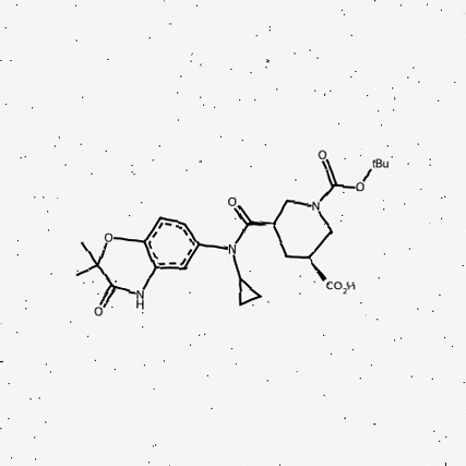 CC(C)(C)OC(=O)N1C[C@@H](C(=O)O)C[C@@H](C(=O)N(c2ccc3c(c2)NC(=O)C(C)(C)O3)C2CC2)C1